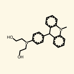 CN1c2ccccc2C(c2ccc(N(CCO)CCO)cc2)c2ccccc21